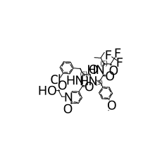 COc1ccc([C@H](NC(=O)[C@H](Cc2cccc(Cl)c2)NC(=O)c2ccc(=O)n(CC(=O)O)c2)C(=O)N[C@H](C(=O)C(F)(F)F)C(C)C)cc1